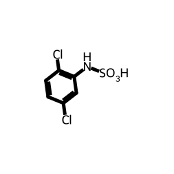 O=S(=O)(O)Nc1cc(Cl)ccc1Cl